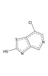 Sc1nc2cncc(Cl)c2s1